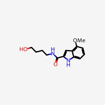 COc1cccc2[nH]c(C(=O)NCCCCO)cc12